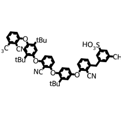 Cc1cc(Cc2cccc(Oc3ccc(Oc4cccc(Oc5cc(C(C)(C)C)c(Oc6cccc(C)c6C#N)cc5C(C)(C)C)c4C#N)c(C(C)(C)C)c3)c2C#N)cc(S(=O)(=O)O)c1